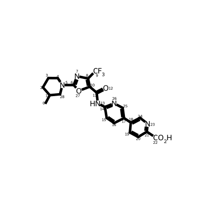 CC1CCCN(c2nc(C(F)(F)F)c(C(=O)Nc3ccc(-c4ccc(C(=O)O)nc4)cn3)o2)C1